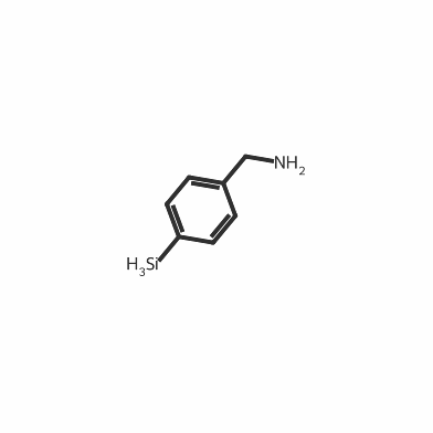 NCc1ccc([SiH3])cc1